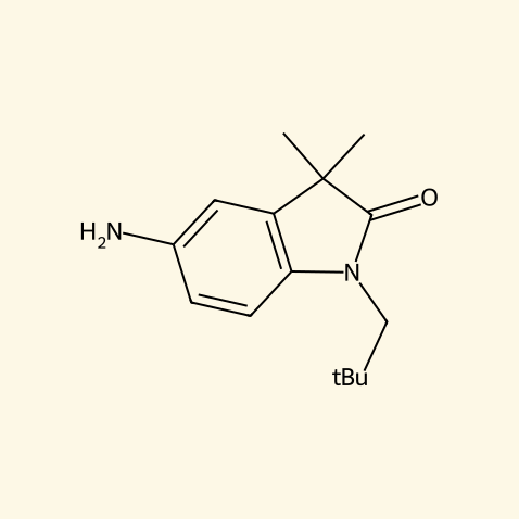 CC(C)(C)CN1C(=O)C(C)(C)c2cc(N)ccc21